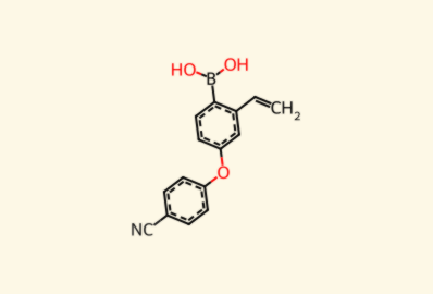 C=Cc1cc(Oc2ccc(C#N)cc2)ccc1B(O)O